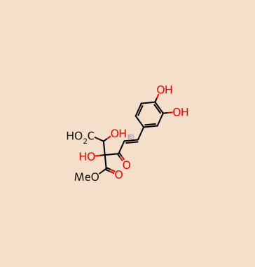 COC(=O)C(O)(C(=O)/C=C/c1ccc(O)c(O)c1)C(O)C(=O)O